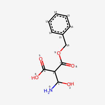 NC(O)C(C(=O)O)C(=O)OCc1ccccc1